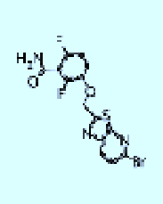 NC(=O)c1c(F)ccc(OCc2nc3ccc(Br)nc3s2)c1F